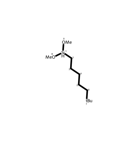 CO[SiH](CCCCCC(C)(C)C)OC